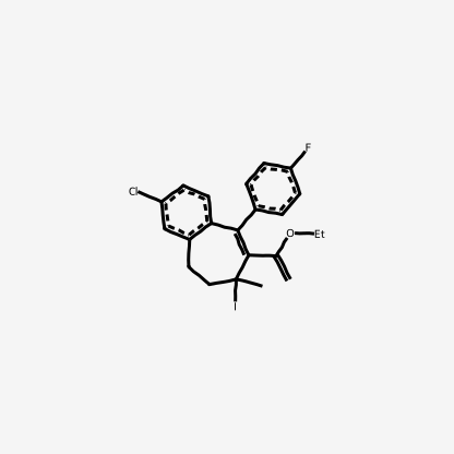 C=C(OCC)C1=C(c2ccc(F)cc2)c2ccc(Cl)cc2CCC1(C)I